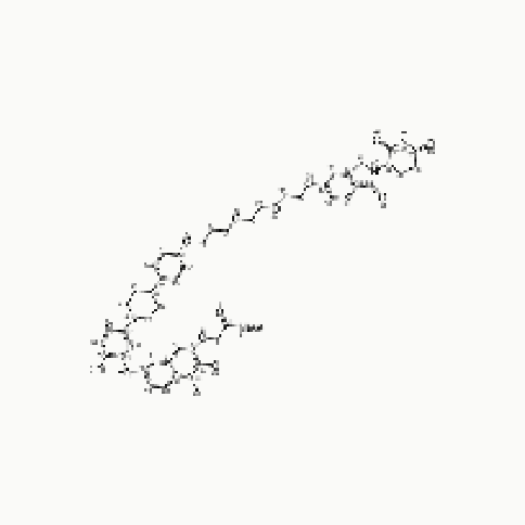 CNC(=O)COc1cc2cc(Nc3nc(N4CCC(c5ccc(OCCCOCCOCCOc6ccc7c(c6)CN(C6CCC(=O)NC6=O)C7=O)cc5)CC4)ncc3Cl)ccc2n(C)c1=O